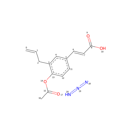 C=CCc1cc(C=CC(=O)O)ccc1OC(C)=O.[N-]=[N+]=N